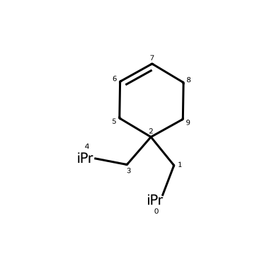 CC(C)CC1(CC(C)C)CC=CCC1